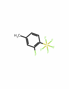 Cc1ccc(S(F)(F)(F)(F)F)c(F)c1